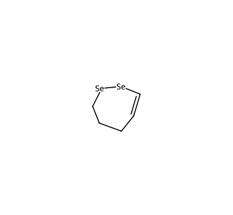 C1=C[Se][Se]CCC1